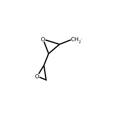 [CH2]C1OC1C1CO1